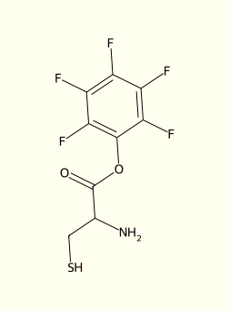 NC(CS)C(=O)Oc1c(F)c(F)c(F)c(F)c1F